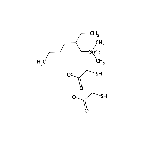 CCCCC(CC)[CH2][Sn+2]([CH3])[CH3].O=C([O-])CS.O=C([O-])CS